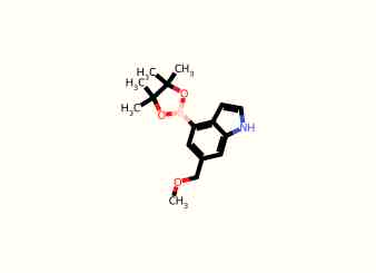 COCc1cc(B2OC(C)(C)C(C)(C)O2)c2cc[nH]c2c1